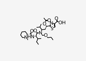 CCCOCN(C(=O)[C@@H](NC(=O)[C@H]1CCCCN1C)C(C)CC)C(C[C@@H](OC(C)=O)c1nc(C(=O)O)cs1)C(C)C